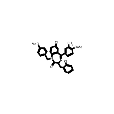 COc1ccc(CN2C(=O)C(Cc3ccccc3Cl)N=C(c3ccc(OC)c(C)c3)c3cc(Cl)ccc32)cc1